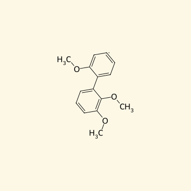 COc1c[c]ccc1-c1cccc(OC)c1OC